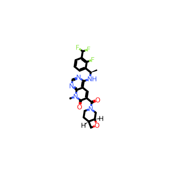 C[C@@H](Nc1ncnc2c1cc(C(=O)N1CC[C@@H]3CO[C@@H]3C1)c(=O)n2C)c1cccc(C(F)F)c1F